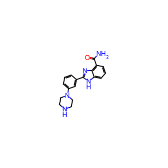 NC(=O)c1cccc2[nH]c(-c3cccc(N4CCNCC4)c3)nc12